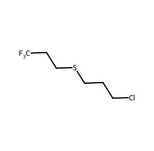 FC(F)(F)CCSCCCCl